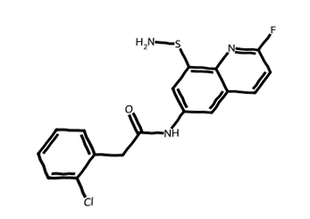 NSc1cc(NC(=O)Cc2ccccc2Cl)cc2ccc(F)nc12